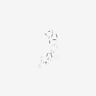 Cc1nc2ccc(CN3CCN(c4ccc(C(=O)NC5CC5)nc4Cl)CC3)c(F)c2[nH]c1=O